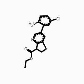 CCOC(=O)C1CCc2cc(-c3cc(Cl)ccc3N)cnc21